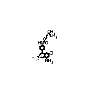 CN(C)CCOC(=O)Nc1ccc(C2CN(C)Cc3c(N)cc(Cl)cc32)cc1